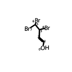 OC=CC(Br)C(Br)Br